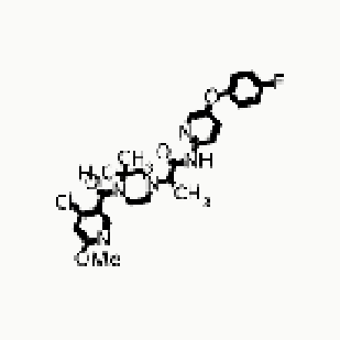 COc1cc(Cl)c(C(=O)N2CCN(C(C)C(=O)Nc3ccc(Oc4ccc(F)cc4)cn3)CC2(C)C)cn1